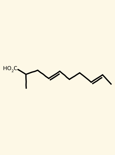 CC=CCCC=CCC(C)C(=O)O